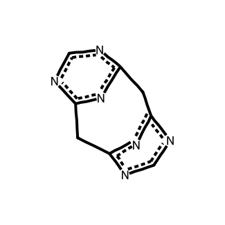 c1nc2nc(n1)Cc1ncnc(n1)C2